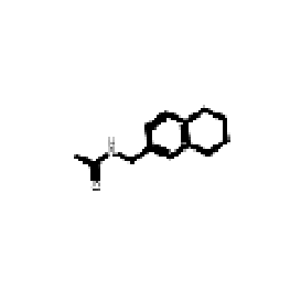 CC(=O)NCc1ccc2c(c1)CCCC2